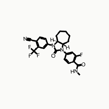 CNC(=O)c1ccc(N2C(=O)N(c3ccc(C#N)c(C(F)(F)F)c3)[C@H]3CCCCC[C@@H]32)cc1F